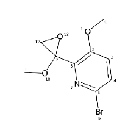 COc1ccc(Br)nc1C1(OC)CO1